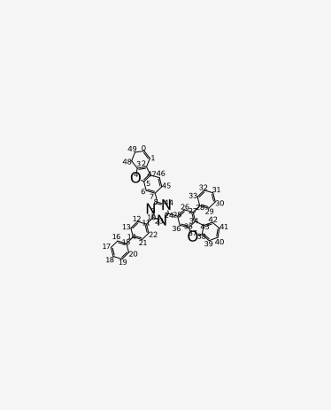 C1=Cc2c(oc3cc(-c4nc(-c5ccc(-c6ccccc6)cc5)nc(-c5cc(-c6ccccc6)c6c(c5)oc5ccccc56)n4)ccc23)CC1